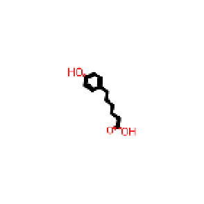 O=C(O)CCCCCc1ccc(O)cc1